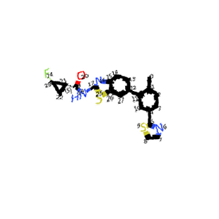 Cc1ccc(-c2nccs2)cc1-c1ccc2nc(NC(=O)[C@@H]3C[C@@H]3F)sc2c1